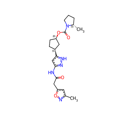 Cc1cc(CC(=O)Nc2cc([C@H]3CC[C@@H](OC(=O)N4CCC[C@@H]4C)C3)[nH]n2)on1